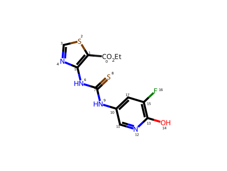 CCOC(=O)c1scnc1NC(=S)Nc1cnc(O)c(F)c1